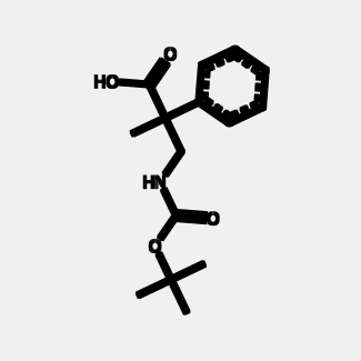 CC(C)(C)OC(=O)NCC(C)(C(=O)O)c1ccccc1